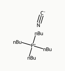 CCCC[P+](CCCC)(CCCC)CCCC.[C-]#N